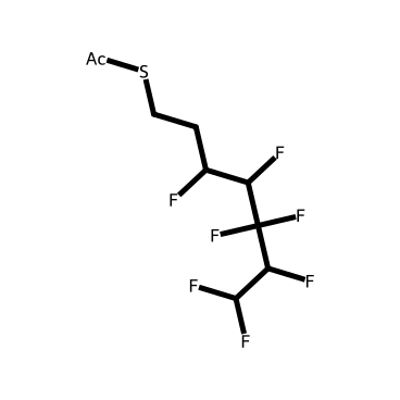 CC(=O)SCCC(F)C(F)C(F)(F)C(F)C(F)F